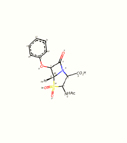 CC(=O)NC1C(C(=O)O)N2C(=O)C(Oc3ccccc3)[C@H]2S1(=O)=O